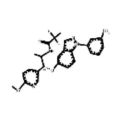 Bc1cccc(-n2ncc3cc(O[C@H](c4ccc(OC)nc4)C(C)NC(=O)C(C)(F)F)ccc32)c1